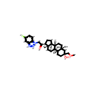 COC[C@@]1(O)CC[C@H]2[C@H](CC[C@@H]3[C@@H]2CC[C@]2(C)[C@@H](C(=O)Cn4nnc5cc(F)ccc54)CC[C@@H]32)C1